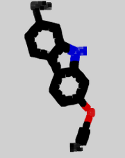 C#COc1ccc2c(c1)[nH]c1cc(OC)ccc12